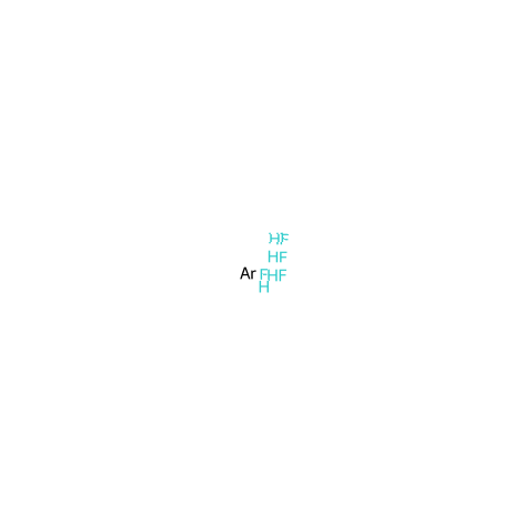 F.F.F.F.[Ar]